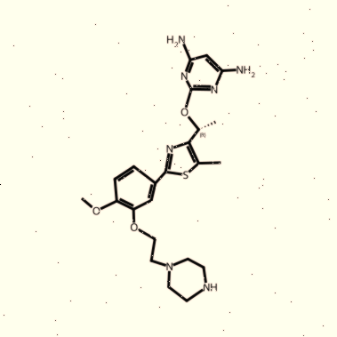 COc1ccc(-c2nc([C@@H](C)Oc3nc(N)cc(N)n3)c(C)s2)cc1OCCN1CCNCC1